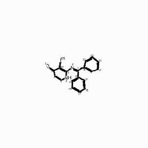 O=c1cc[nH]c(N=C(c2ccccc2)c2ccccc2)c1I